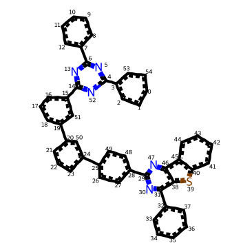 c1ccc(-c2nc(-c3ccccc3)nc(-c3cccc(-c4cccc(-c5ccc(-c6nc(-c7ccccc7)c7sc8ccccc8c7n6)cc5)c4)c3)n2)cc1